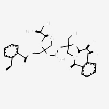 C=C(C)C(=O)OC(CC)(COC(=O)c1ccccc1C=O)OP(O)OC(CC)(COC(=O)c1ccccc1C=O)OC(=O)C(=C)C